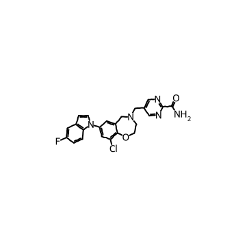 NC(=O)c1ncc(CN2CCOc3c(Cl)cc(-n4ccc5cc(F)ccc54)cc3C2)cn1